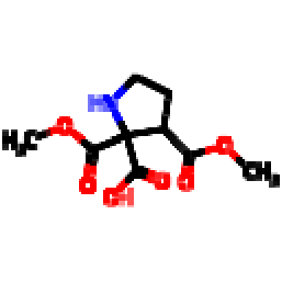 COC(=O)C1CCNC1(C(=O)O)C(=O)OC